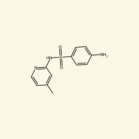 Cc1ccnc(NS(=O)(=O)c2ccc(N)cc2)c1